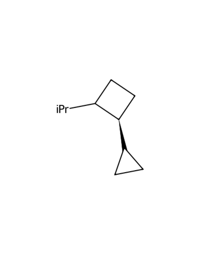 CC(C)C1CC[C@H]1C1CC1